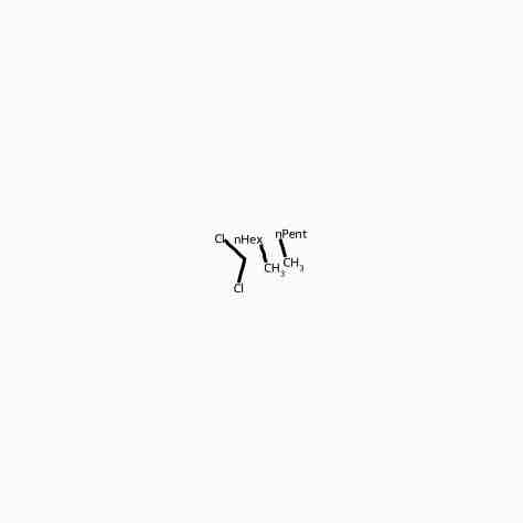 CCCCCC.CCCCCCC.ClCCl